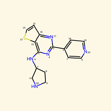 c1cc(-c2nc(NC3CCNC3)c3sccc3n2)ccn1